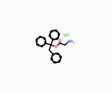 Cl.NCC(=O)OC(Cc1ccccc1)(c1ccccc1)c1ccccc1